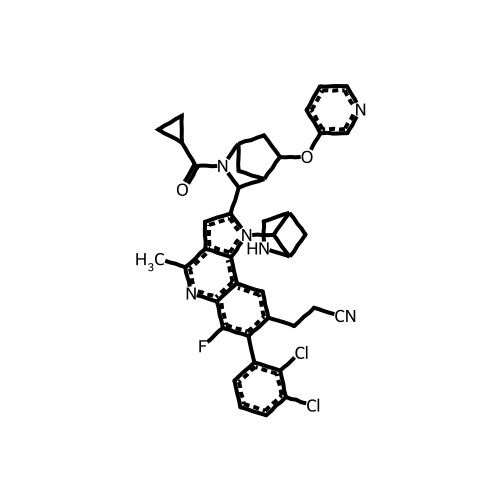 Cc1nc2c(F)c(-c3cccc(Cl)c3Cl)c(CCC#N)cc2c2c1cc(C1C3CC(CC3Oc3cccnc3)N1C(=O)C1CC1)n2C1C2CNC1C2